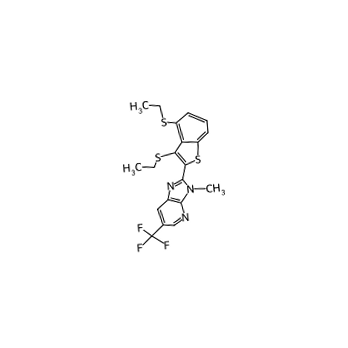 CCSc1cccc2sc(-c3nc4cc(C(F)(F)F)cnc4n3C)c(SCC)c12